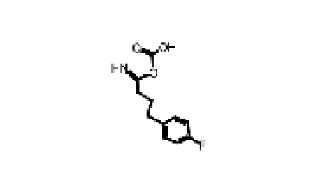 N=C(CCCc1ccc(F)cc1)OC(=O)O